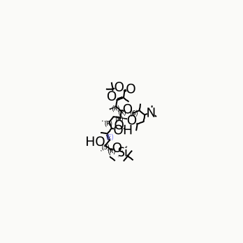 CC[C@@H](O[Si](C)(C)C(C)(C)C)[C@@](C)(O)/C=C(\C)C(O)[C@H](C)C[C@@](C)(OC)[C@H](O[C@@H]1OC(C)CC(N(C)C)C1C)[C@@H](C)C1=C(C)C(=O)OC(C)(C)O1